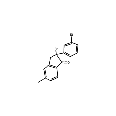 CCc1cccc(C2(Br)Cc3cc(C)ccc3C2=O)c1